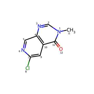 Cn1cnc2cnc(Cl)cc2c1=O